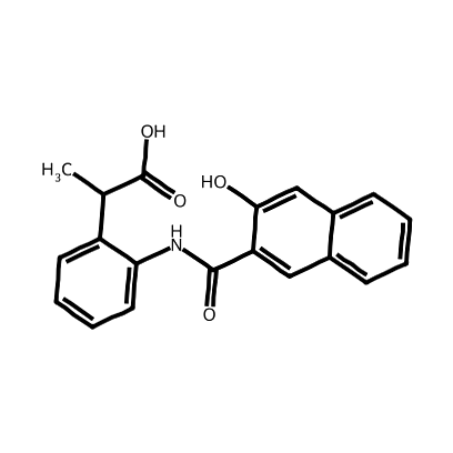 CC(C(=O)O)c1ccccc1NC(=O)c1cc2ccccc2cc1O